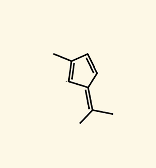 CC1=[C]C(=C(C)C)C=C1